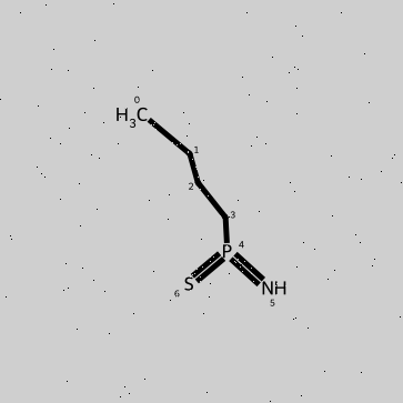 CCCCP(=N)=S